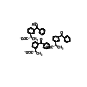 C[C@H](C(=O)[O-])c1cccc(C(=O)c2ccccc2)c1.C[C@H](C(=O)[O-])c1cccc(C(=O)c2ccccc2)c1.C[C@H](C(=O)[O-])c1cccc(C(=O)c2ccccc2)c1.[Al+3]